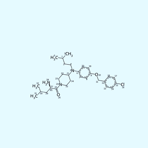 CC(C)CCN(c1ccc(OCc2ccc(Cl)cc2)cc1)C1CCN(C(=O)[C@H](N)CC(C)C)CC1